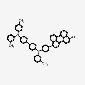 Cc1ccc(N(c2ccc(-c3ccc(N(c4ccc(-c5ccc6c7ccc(C)c8cccc(c9cccc5c96)c87)cc4)c4cccc(C)c4)cc3)cc2)c2cccc(C)c2)cc1